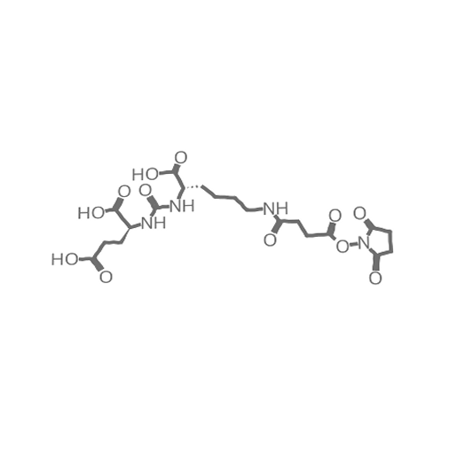 O=C(O)CC[C@H](NC(=O)N[C@@H](CCCCNC(=O)CCC(=O)ON1C(=O)CCC1=O)C(=O)O)C(=O)O